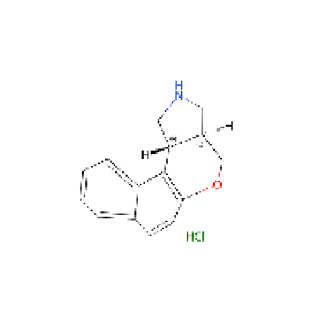 Cl.c1ccc2c3c(ccc2c1)OC[C@@H]1CNC[C@@H]31